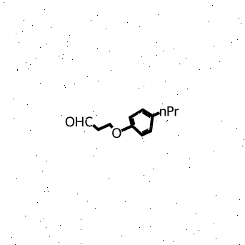 CCCc1ccc(OCCC=O)cc1